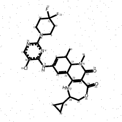 CC1C=C(Nc2nc(N3CCC(F)(F)CC3)ncc2Cl)C=C2C3=C(C(=O)OCC(C4CC4)N3)C(=O)N(C)C21